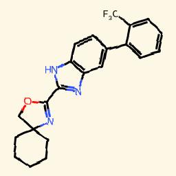 FC(F)(F)c1ccccc1-c1ccc2[nH]c(C3=NC4(CCCCC4)CO3)nc2c1